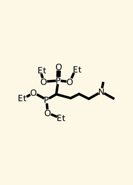 CCOP(OCC)C(CCCN(C)C)P(=O)(OCC)OCC